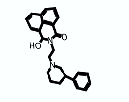 O=C1c2cccc3cccc(c23)C(O)N1CCN1CCCC(c2ccccc2)C1